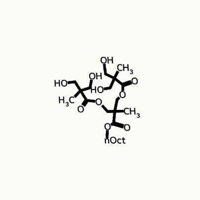 CCCCCCCCOC(=O)C(C)(COC(=O)C(C)(CO)CO)COC(=O)C(C)(CO)CO